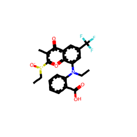 CCN(c1ccccc1C(=O)O)c1cc(C(F)(F)F)cc2c(=O)c(C)c([S+]([O-])CC)oc12